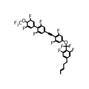 C/C=C/CCc1cc(F)c(C(F)(F)Oc2cc(F)c(C#Cc3cc(F)c(C4=CC(F)C(OC(F)(F)F)C(F)=C4)c(F)c3)c(F)c2)c(F)c1